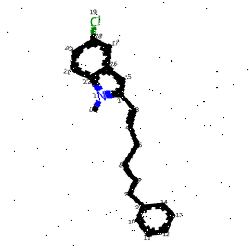 Cn1c(C=CCCCCc2ccccc2)cc2cc(Cl)ccc21